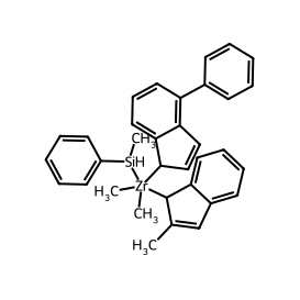 CC1=Cc2ccccc2[CH]1[Zr]([CH3])([CH3])([CH]1C=Cc2c(-c3ccccc3)cccc21)[SiH](C)c1ccccc1